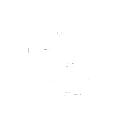 C#Cc1ccccc1C(=O)CC